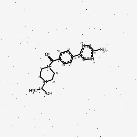 CB(O)N1CCN(C(=O)c2ccc(-c3cnc(N)cn3)cc2)CC1